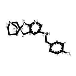 Clc1ccc(CNc2cnc3c(c2)C[C@@]2(CN4CCC2CC4)O3)cc1